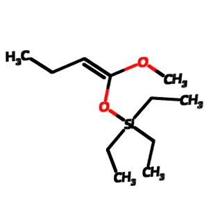 CC/C=C(/OC)O[Si](CC)(CC)CC